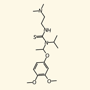 COc1ccc(OC(C)N(C(=S)NCCN(C)C)C(C)C)cc1OC